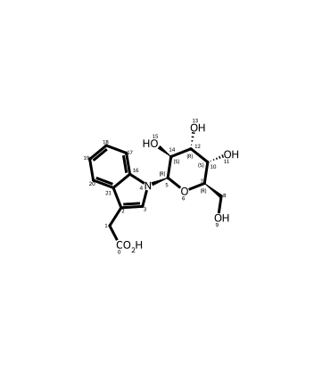 O=C(O)Cc1cn([C@@H]2O[C@H](CO)[C@@H](O)[C@@H](O)[C@@H]2O)c2ccccc12